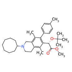 COC(=O)[C@@H](OC(C)(C)C)c1c(C)c2c(c(C)c1-c1ccc(C)cc1)CN(C1CCCCCCC1)CC2